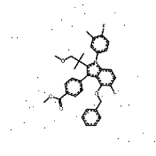 COCC(C)(C)c1c(-c2ccc(C(=O)OC)cc2)c2c(OCc3ccccc3)c(F)ccc2n1-c1ccc(F)c(C)c1